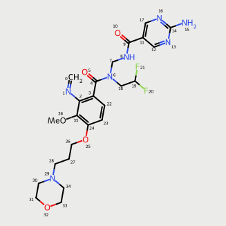 C=Nc1c(C(=O)N(CNC(=O)c2cnc(N)nc2)CC(F)F)ccc(OCCCN2CCOCC2)c1OC